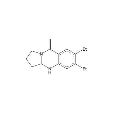 C=C1c2cc(CC)c(CC)cc2NC2CCCN12